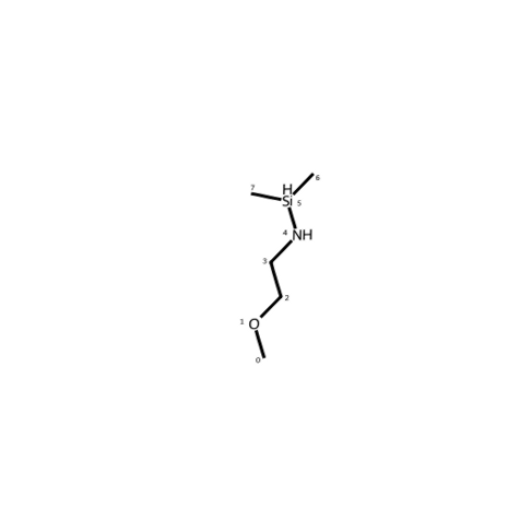 COCCN[SiH](C)C